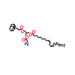 CCCCC/C=C\C/C=C\CCCCCCCC(=O)OCC(COC(=O)CCC12CC3CC(CC(C3)C1)C2)COC(=O)CN(C)C